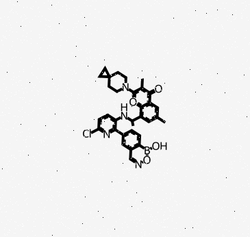 Cc1cc(C(C)Nc2ccc(Cl)nc2-c2ccc3c(c2)C=NOB3O)c2oc(N3CCC4(CC3)CC4)c(C)c(=O)c2c1